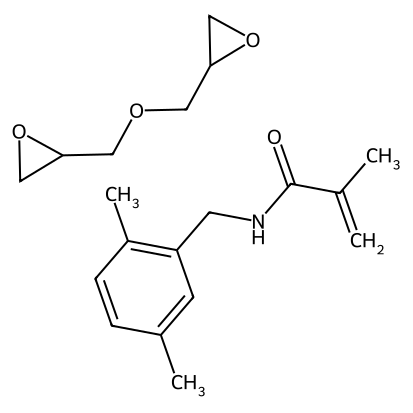 C(OCC1CO1)C1CO1.C=C(C)C(=O)NCc1cc(C)ccc1C